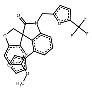 COc1ccc2c(n1)C1(CO2)C(=O)N(Cc2ccc(C(F)(F)F)o2)c2cccc(-c3ccoc3)c21